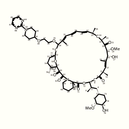 CO[C@@H]1C[C@H](C[C@@H](C)[C@@H]2CC(=O)[C@H](C)/C=C(\C)[C@@H](O)[C@@H](OC)C(=O)[C@H](C)C[C@H](C)/C=C/C=C/C=C(\C)C(OCCOC3CCN(c4ncccn4)CC3)C[C@@H]3CC[C@@H](C)[C@@](O)(O3)C(=O)C(=O)N3CCCC[C@H]3C(=O)O2)CC[C@H]1O